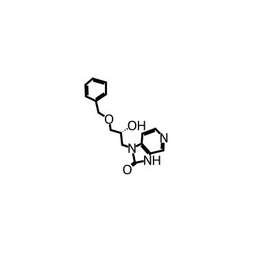 O=c1[nH]c2cnccc2n1C[C@@H](O)COCc1ccccc1